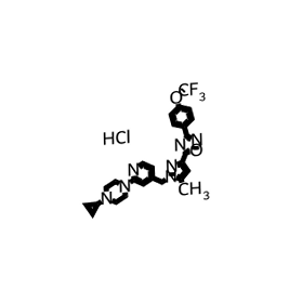 Cc1cc(-c2nc(-c3ccc(OC(F)(F)F)cc3)no2)nn1Cc1ccnc(N2CCN(C3CC3)CC2)c1.Cl